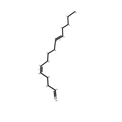 CCCC/C=C/CCC/C=C\CCC=O